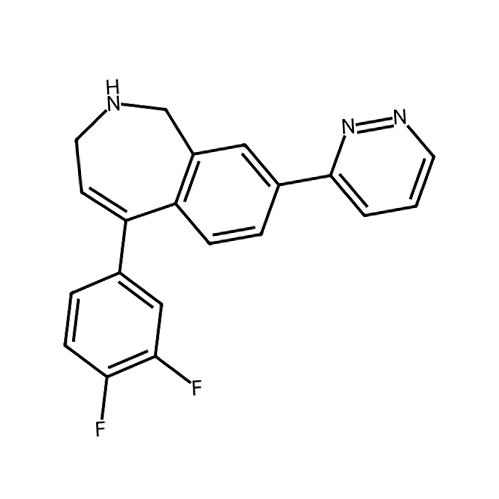 Fc1ccc(C2=CCNCc3cc(-c4cccnn4)ccc32)cc1F